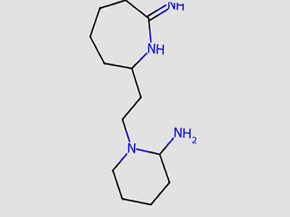 N=C1CCCCC(CCN2CCCCC2N)N1